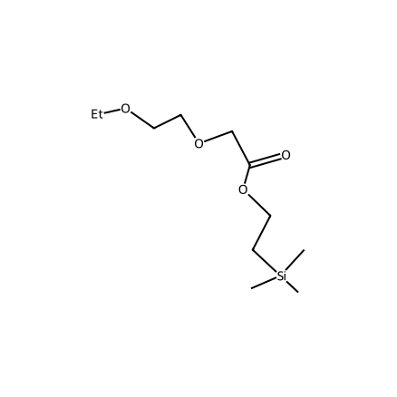 CCOCCOCC(=O)OCC[Si](C)(C)C